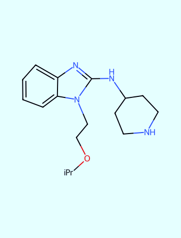 CC(C)OCCn1c(NC2CCNCC2)nc2ccccc21